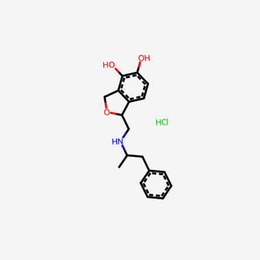 CC(Cc1ccccc1)NCC1OCc2c1ccc(O)c2O.Cl